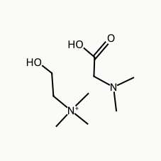 CN(C)CC(=O)O.C[N+](C)(C)CCO